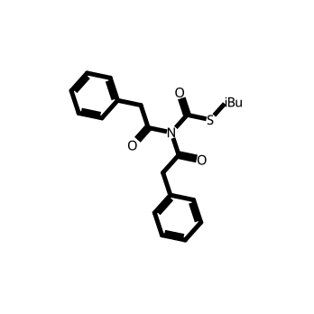 CCC(C)SC(=O)N(C(=O)Cc1ccccc1)C(=O)Cc1ccccc1